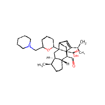 CC(C)C1=CC2CC3(C=O)[C@@H]4CC[C@@H](C)[C@H]4CC2(C2CCCC(CN4CCCCC4)O2)C13C(=O)O